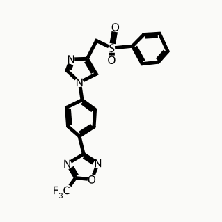 O=S(=O)(Cc1cn(-c2ccc(-c3noc(C(F)(F)F)n3)cc2)cn1)c1ccccc1